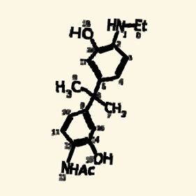 CCNc1ccc(C(C)(C)c2ccc(NC(C)=O)c(O)c2)cc1O